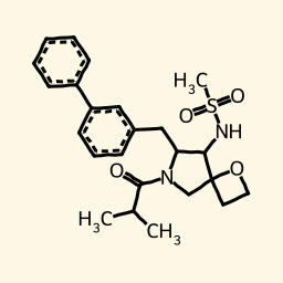 CC(C)C(=O)N1CC2(CCO2)C(NS(C)(=O)=O)C1Cc1cccc(-c2ccccc2)c1